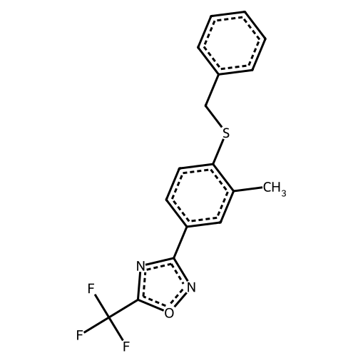 Cc1cc(-c2noc(C(F)(F)F)n2)ccc1SCc1ccccc1